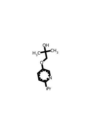 CC(C)c1ccc(OCC(C)(C)O)cn1